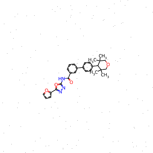 CC1(C)COCC(C)(C)C1c1ccc(-c2cccc(C(=O)Nc3nnc(-c4ccco4)o3)c2)cc1